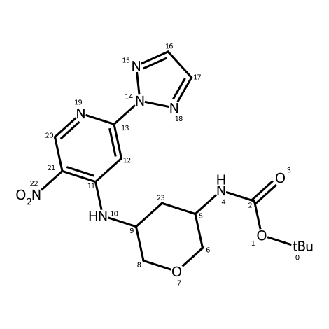 CC(C)(C)OC(=O)NC1COCC(Nc2cc(-n3nccn3)ncc2[N+](=O)[O-])C1